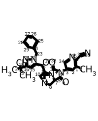 Cc1cc(N2C(=O)C3CN4CC(C(=O)c5cc(C(C)(C)C)nn5Cc5ccccc5)[N+]3(C4)C2=O)cnc1C#N